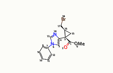 COC(=O)[C@]1(c2cn(-c3ccccc3)cn2)C[C@@H]1CBr